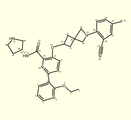 CCOc1ncccc1-c1ccc(OC2CC3(C2)CN(c2ccc(F)cc2C#N)C3)c(C(=O)N[C@@H]2CCNC2)n1